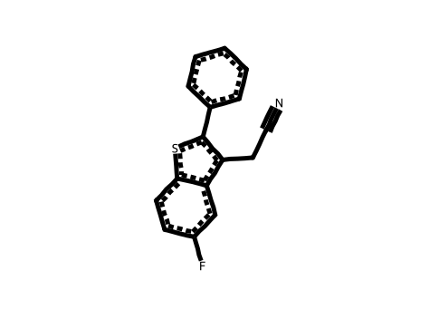 N#CCc1c(-c2ccccc2)sc2ccc(F)cc12